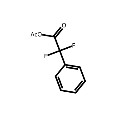 CC(=O)OC(=O)C(F)(F)c1ccccc1